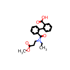 CCN(CCC(=O)OC)C(=O)c1ccccc1-c1ccccc1C(=O)O